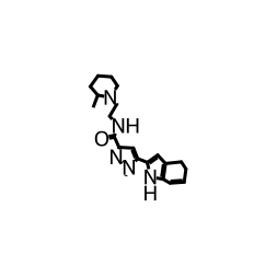 CC1CCCCN1CCNC(=O)c1cc(-c2cc3c([nH]2)C=CCC3)n(C)n1